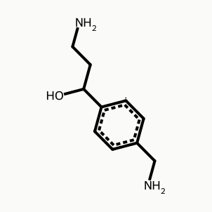 NCCC(O)c1[c]cc(CN)cc1